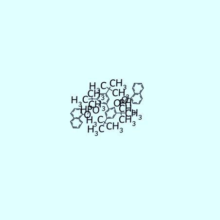 CC(C)(C)c1cc(-c2cc(C(C)(C)C)cc(C(C)(C)C)c2OPOc2cccc3ccccc23)c(OPOc2cccc3ccccc23)c(C(C)(C)C)c1